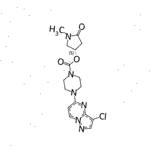 CN1C[C@@H](OC(=O)N2CCN(c3ccn4ncc(Cl)c4n3)CC2)CC1=O